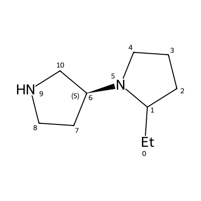 CCC1CCCN1[C@H]1CCNC1